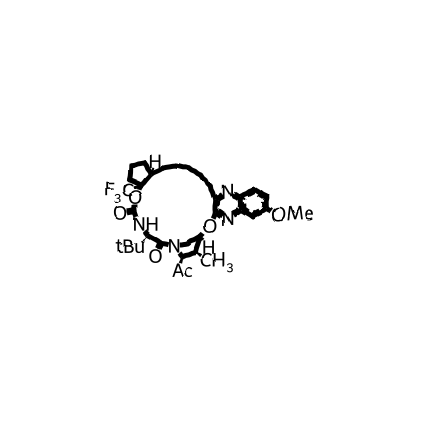 COc1ccc2nc3c(nc2c1)O[C@H]1CN(C(=O)[C@H](C(C)(C)C)NC(=O)O[C@]2(C(F)(F)F)CCC[C@H]2CCCCC3)[C@H](C(C)=O)[C@@H]1C